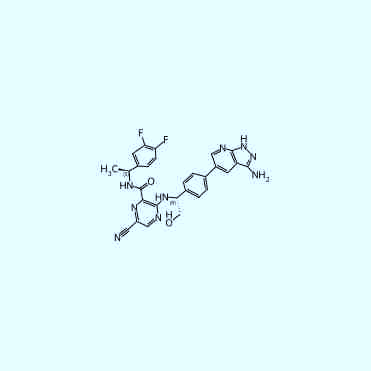 C[C@H](NC(=O)c1nc(C#N)cnc1N[C@@H](CO)c1ccc(-c2cnc3[nH]nc(N)c3c2)cc1)c1ccc(F)c(F)c1